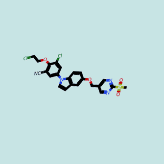 CS(=O)(=O)c1ncc(COc2ccc3c(ccn3-c3cc(Cl)c(OCCCl)c(C#N)c3)c2)cn1